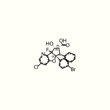 O=C(O)[C@H]1[C@@H](O)[C@@]2(F)c3ncc(Cl)cc3O[C@@]2(c2ccc(Br)cc2)[C@@H]1c1ccccc1